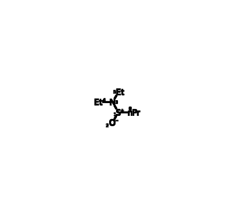 CCC[S+]([O-])N(CC)CC